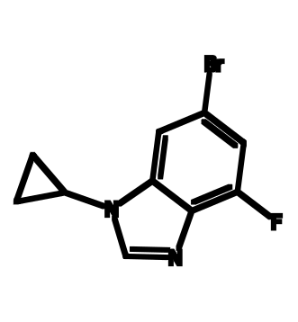 Fc1cc(Br)cc2c1ncn2C1CC1